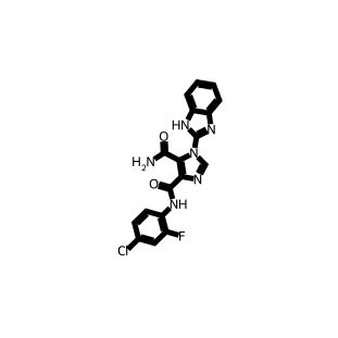 NC(=O)c1c(C(=O)Nc2ccc(Cl)cc2F)ncn1-c1nc2ccccc2[nH]1